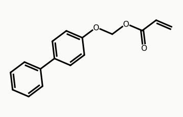 C=CC(=O)OCOc1ccc(-c2ccccc2)cc1